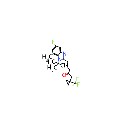 Cc1cc(F)cc2nc(CCCC(=O)CC3(C(F)(F)F)CC3)n(C(C)(C)C)c12